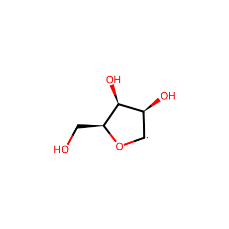 OC[C@@H]1O[CH][C@H](O)[C@@H]1O